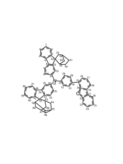 c1ccc2c(c1)-c1ccc(N(c3ccc(-c4cccc5c4oc4ccccc45)cc3)c3ccc4c(c3)-c3ccccc3C43C4CC5CC(C4)CC3C5)cc1C21CC2CCC1C2